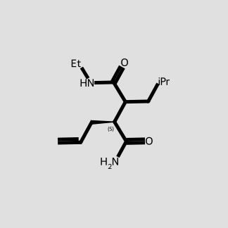 C=CC[C@H](C(N)=O)C(CC(C)C)C(=O)NCC